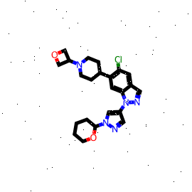 Clc1cc2cnn(-c3cnn(C4CCCCO4)c3)c2cc1C1CCN(C2COC2)CC1